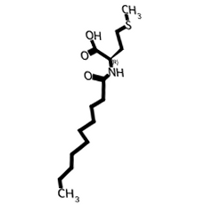 CCCCCCCCCC(=O)N[C@H](CCSC)C(=O)O